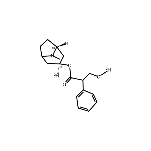 [2H]OCC(C(=O)O[C@@]1([2H])CC2CC[C@H](C1)N2C)c1ccccc1